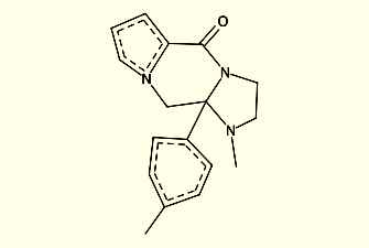 Cc1ccc(C23Cn4cccc4C(=O)N2CCN3C)cc1